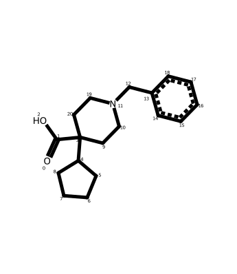 O=C(O)C1(C2CCCC2)CCN(Cc2ccccc2)CC1